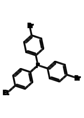 CCc1ccc(P(c2ccc(Br)cc2)c2ccc(Br)cc2)cc1